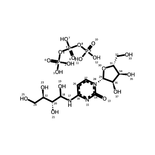 O=P(O)(O)OP(=O)(O)OP(=O)(O)O.O=c1nc(NC(O)[C@H](O)[C@H](O)CO)ccn1[C@@H]1O[C@H](CO)[C@@H](O)[C@H]1O